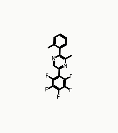 Cc1ccccc1-c1ncc(-c2c(F)c(F)c(F)c(F)c2F)nc1C